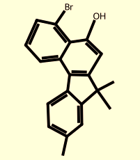 Cc1ccc2c(c1)C(C)(C)c1cc(O)c3c(Br)cccc3c1-2